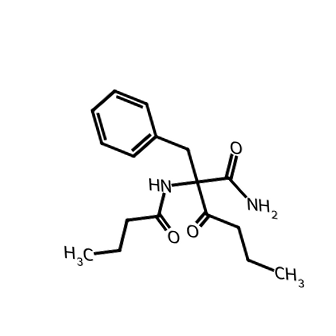 CCCC(=O)NC(Cc1ccccc1)(C(N)=O)C(=O)CCC